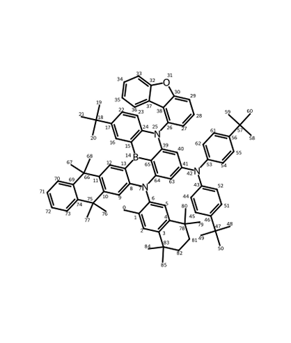 Cc1cc2c(cc1N1c3cc4c(cc3B3c5cc(C(C)(C)C)ccc5N(c5cccc6oc7ccccc7c56)c5cc(N(c6ccc(C(C)(C)C)cc6)c6ccc(C(C)(C)C)cc6)cc1c53)C(C)(C)c1ccccc1C4(C)C)C(C)(C)CCC2(C)C